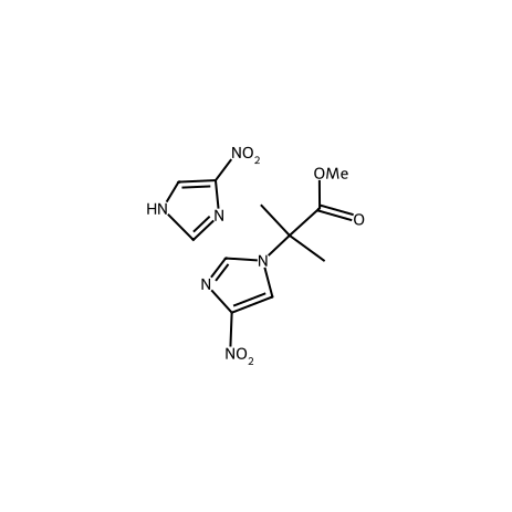 COC(=O)C(C)(C)n1cnc([N+](=O)[O-])c1.O=[N+]([O-])c1c[nH]cn1